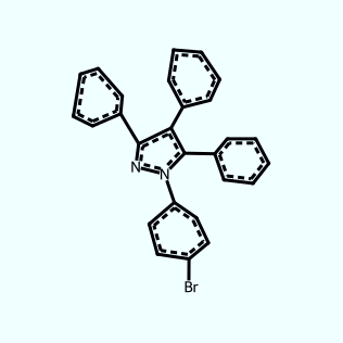 Brc1ccc(-n2nc(-c3ccccc3)c(-c3ccccc3)c2-c2ccccc2)cc1